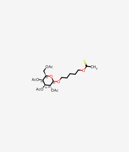 CC(=O)OC[C@H]1O[C@@H](OCCCCCOC(C)=S)[C@H](OC(C)=O)[C@@H](OC(C)=O)[C@H]1OC(C)=O